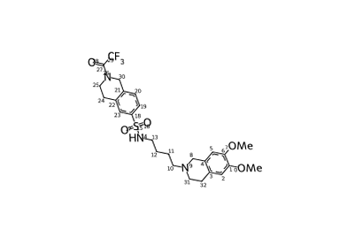 COc1cc2c(cc1OC)CN(CCCCNS(=O)(=O)c1ccc3c(c1)CCN(C(=O)C(F)(F)F)C3)CC2